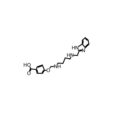 O=C(O)c1ccc(OCNCCCCNCc2nc3ccccc3[nH]2)cc1